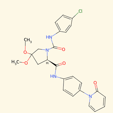 COC1(OC)C[C@H](C(=O)Nc2ccc(-n3ccccc3=O)cc2)N(C(=O)Nc2ccc(Cl)cc2)C1